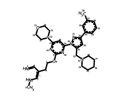 CN/C=C(\C=N)CCOc1nc(N2CCOCC2)cc(-n2nc(-c3cccc(C)c3)cc2CN2CCCCC2)n1